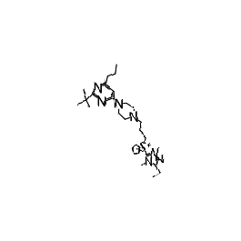 CCCc1cc(N2CCN(CCC[S+]([O-])c3nnc(CC)n3C)CC2)nc(C(C)(C)C)n1